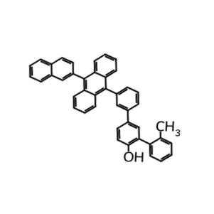 Cc1ccccc1-c1cc(-c2cccc(-c3c4ccccc4c(-c4ccc5ccccc5c4)c4ccccc34)c2)ccc1O